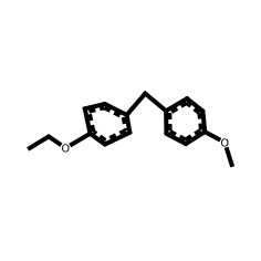 CCOc1ccc(Cc2ccc(OC)cc2)cc1